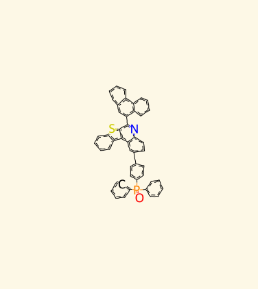 O=P(c1ccccc1)(c1ccccc1)c1ccc(-c2ccc3nc(-c4cc5ccccc5c5ccccc45)c4sc5ccccc5c4c3c2)cc1